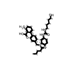 CCCCc1nc2ccc(NC(=O)NCCCCCO)cc2n1Cc1ccc(-c2ccccc2C(=O)O)cc1.O